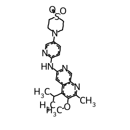 COc1c(C)nc2cnc(Nc3ccc(N4CCS(=O)(=O)CC4)cn3)cc2c1C(C)C